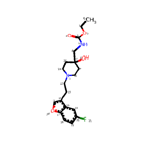 CCOC(=O)NCC1(O)CCN(CCc2coc3ccc(F)cc23)CC1